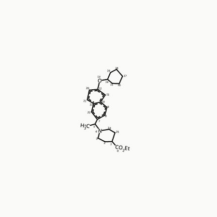 CCOC(=O)C1CCN(C(C)c2ccc3cc(OC4CCCCC4)ccc3c2)CC1